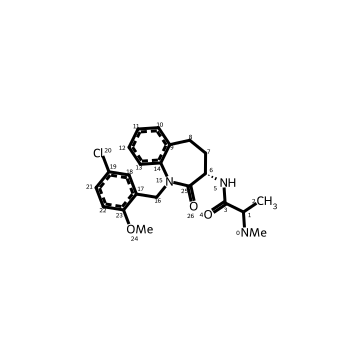 CNC(C)C(=O)N[C@H]1CCc2ccccc2N(Cc2cc(Cl)ccc2OC)C1=O